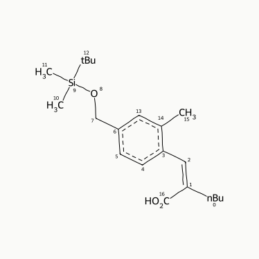 CCCCC(=Cc1ccc(CO[Si](C)(C)C(C)(C)C)cc1C)C(=O)O